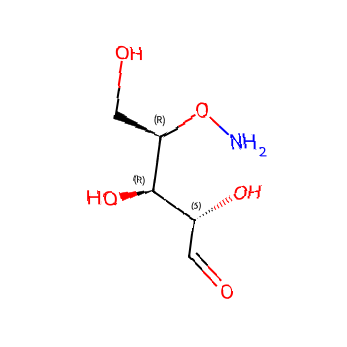 NO[C@H](CO)[C@H](O)[C@H](O)C=O